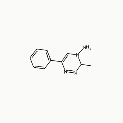 CC1N=NC(c2ccccc2)=CN1N